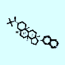 CN([C@@H]1CC[C@@]2(C)[C@@H](CC[C@@H]3[C@@H]2CC[C@]2(C)[C@@H](c4ccc5ccncc5c4)CC[C@@H]32)C1)C(C)(C)C